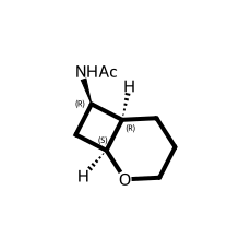 CC(=O)N[C@@H]1C[C@@H]2OCCC[C@@H]21